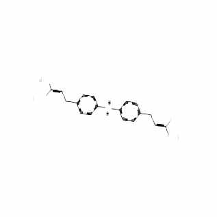 CCCC(=CCc1ccc(S(=O)(=O)c2ccc(CC=C(CCC)CCC)cc2)cc1)CCC